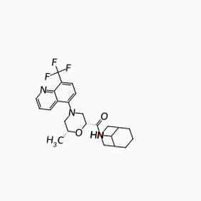 C[C@@H]1CN(c2ccc(C(F)(F)F)c3ncccc23)C[C@H](C(=O)NC2C3CCCC2CNC3)O1